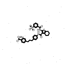 COC(=O)c1ccc(CCCc2ccc(NC(=O)c3c(NC(=O)c4cccc(S(=O)(=O)Cl)c4)sc4c3CCCC4)cc2)cc1